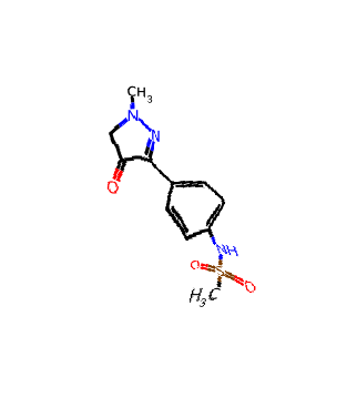 CN1CC(=O)C(c2ccc(NS(C)(=O)=O)cc2)=N1